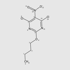 CCCCOc1nc(Cl)c([N+](=O)[O-])c(Cl)n1